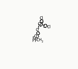 C=C(Cc1ccc(OCCN(C)CC(c2ccc(Cl)cc2)c2ccc(Cl)cc2)cc1)C(=O)C(F)(F)F